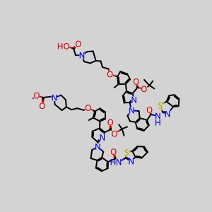 COC(=O)CN1CCC(CCCOc2cccc(-c3ccc(N4CCc5cccc(C(=O)Nc6nc7ccccc7s6)c5C4)nc3C(=O)OC(C)(C)C)c2C)CC1.Cc1c(OCCCC2CCN(CC(=O)O)CC2)cccc1-c1ccc(N2CCc3cccc(C(=O)Nc4nc5ccccc5s4)c3C2)nc1C(=O)OC(C)(C)C